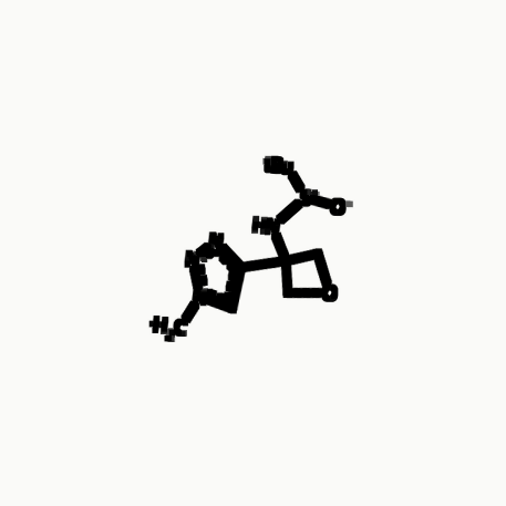 [CH2]n1cc(C2(N[S+]([O-])C(C)(C)C)COC2)nn1